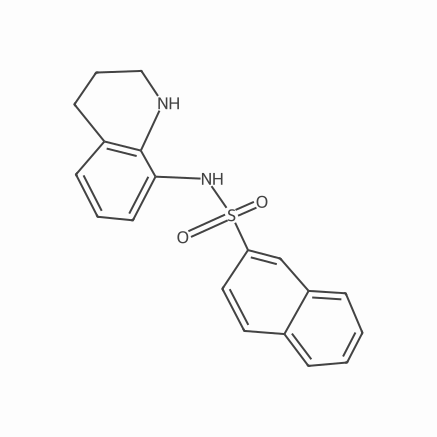 O=S(=O)(Nc1cccc2c1NCCC2)c1ccc2ccccc2c1